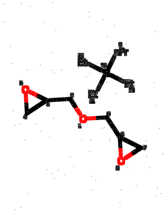 C(OCC1CO1)C1CO1.CCC[Si](CC)(CC)CC